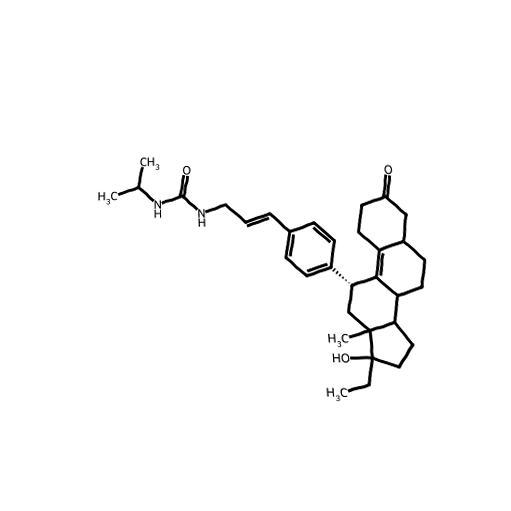 CCC1(O)CCC2C3CCC4CC(=O)CCC4=C3[C@@H](c3ccc(/C=C/CNC(=O)NC(C)C)cc3)CC21C